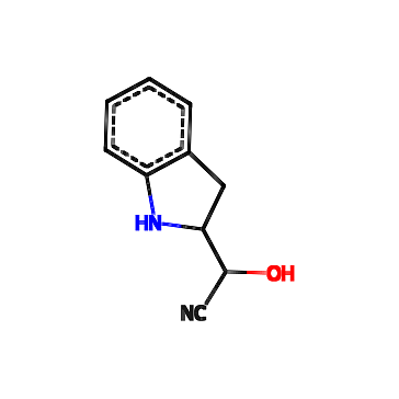 N#CC(O)C1Cc2ccccc2N1